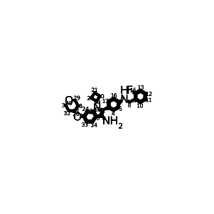 Nc1c(-c2ccc(NCc3ccccc3F)cc2)n(C2CCC2)c2cc(OC3CCOCC3)ccc12